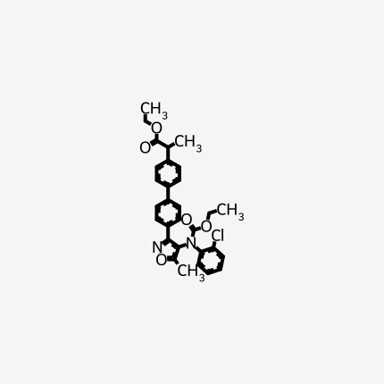 CCOC(=O)C(C)c1ccc(-c2ccc(-c3noc(C)c3N(C(=O)OCC)c3ccccc3Cl)cc2)cc1